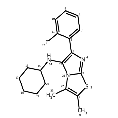 Cc1sc2nc(-c3ccccc3F)c(NC3CCCCC3)n2c1C